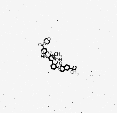 Cn1nc(-c2cccc(-n3ccc4cc(C5(C)CCC5)ccc4c3=O)c2CO)cc(Nc2ccc(C(=O)N3CCOCC3)cn2)c1=O